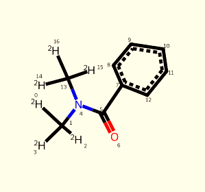 [2H]C([2H])([2H])N(C(=O)c1ccccc1)C([2H])([2H])[2H]